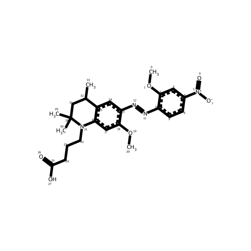 COc1cc([N+](=O)[O-])ccc1N=Nc1cc2c(cc1OC)N(CCCC(=O)O)C(C)(C)CC2C